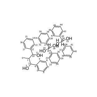 CC(C(O)c1ccccc1)C(O)c1ccccc1.O[PH](O)(c1ccccc1)c1ccccc1.O[PH](O)(c1ccccc1)c1ccccc1